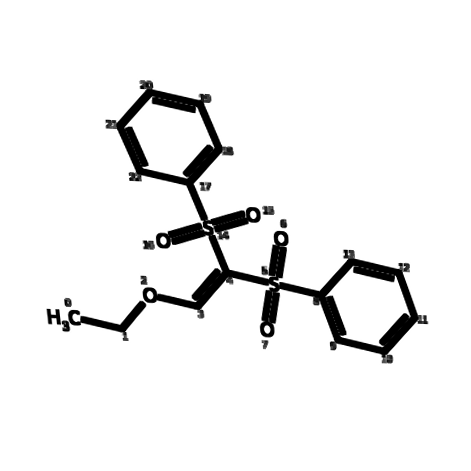 CCOC=C(S(=O)(=O)c1ccccc1)S(=O)(=O)c1ccccc1